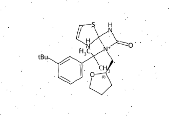 CC(C)(C)c1cccc(C(C)(C)[N+]2(C[C@H]3CCCO3)C(=O)NC23NC=CS3)c1